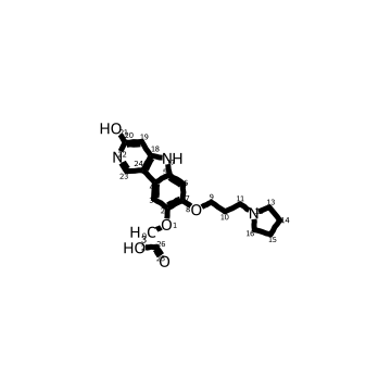 COc1cc2c(cc1OCCCN1CCCC1)[nH]c1cc(O)ncc12.O=CO